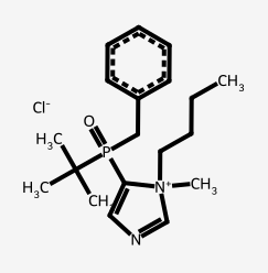 CCCC[N+]1(C)C=NC=C1P(=O)(Cc1ccccc1)C(C)(C)C.[Cl-]